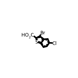 O=C(O)c1sc2ccc(Cl)cc2c1Br